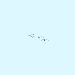 Cn1c2c(c3ccc(F)cc31)CCN(c1ccc(N3CCOCC3)nc1)C2